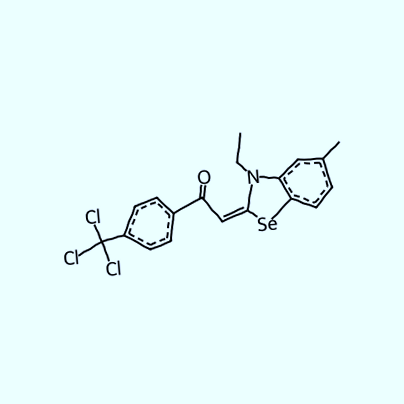 CCN1C(=CC(=O)c2ccc(C(Cl)(Cl)Cl)cc2)[Se]c2ccc(C)cc21